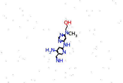 CN(CCO)c1cc(Nc2cc(N)c(C=N)cn2)ncn1